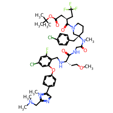 COCC[C@H](NCc1c(F)cc(Cl)cc1Oc1ccc(-c2cnc(CN(C)C)n2C)cc1)C(=O)NCC(=O)N(C)[C@@]1(Cc2ccc(Cl)cc2)CCCN(C(=O)[C@@H](CC(=O)OC(C)(C)C)CC(F)(F)F)C1